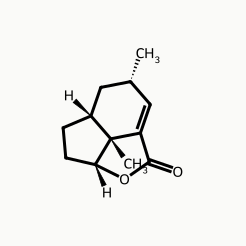 C[C@@H]1C=C2C(=O)O[C@@H]3CC[C@H](C1)[C@]23C